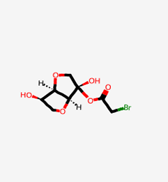 O=C(CBr)O[C@@]1(O)CO[C@@H]2[C@H](O)CO[C@@H]21